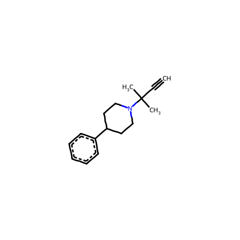 C#CC(C)(C)N1CCC(c2ccccc2)CC1